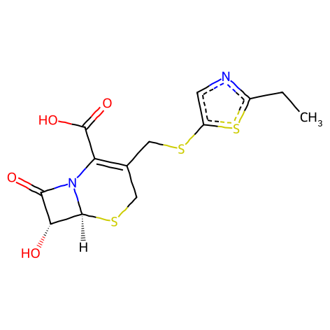 CCc1ncc(SCC2=C(C(=O)O)N3C(=O)[C@@H](O)[C@@H]3SC2)s1